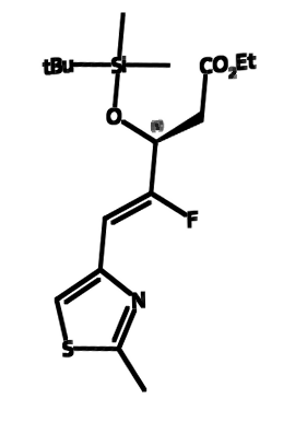 CCOC(=O)C[C@H](O[Si](C)(C)C(C)(C)C)C(F)=Cc1csc(C)n1